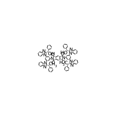 CC(c1ccccc1)c1nc2ccccc2n1-c1cc(-n2c(=O)c3cc4c(=O)n(-c5cc(-n6c(C(C)c7ccccc7)nc7ccccc76)cc(-n6c(C(O)c7ccccc7)nc7ccccc76)c5)c(=O)c4cc3c2=O)cc(-n2c(C(O)c3ccccc3)nc3ccccc32)c1